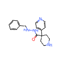 O=C(NNCc1ccccc1)C1(c2ccncc2)CCNCC1